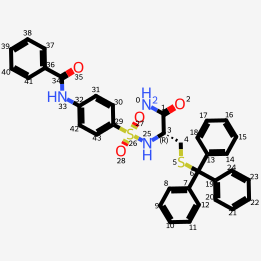 NC(=O)[C@H](CSC(c1ccccc1)(c1ccccc1)c1ccccc1)NS(=O)(=O)c1ccc(NC(=O)c2ccccc2)cc1